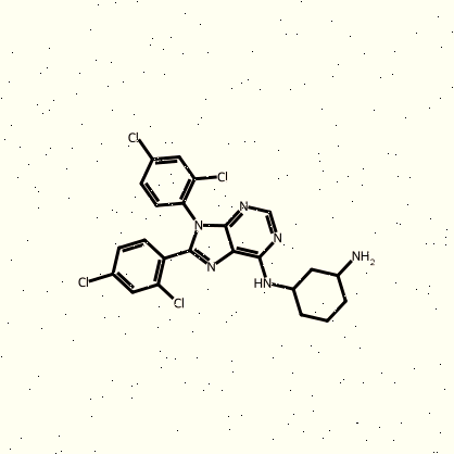 NC1CCCC(Nc2ncnc3c2nc(-c2ccc(Cl)cc2Cl)n3-c2ccc(Cl)cc2Cl)C1